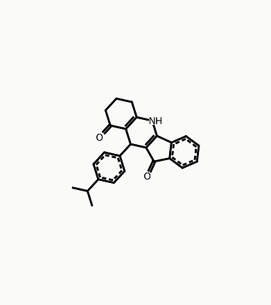 CC(C)c1ccc(C2C3=C(CCCC3=O)NC3=C2C(=O)c2ccccc23)cc1